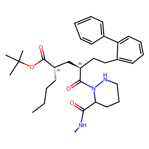 CCCC[C@@H](C[C@@H](CCc1ccccc1-c1ccccc1)C(=O)N1NCCCC1C(=O)NC)C(=O)OC(C)(C)C